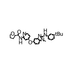 Cn1c(Nc2cccc(C(C)(C)C)c2)nc2cc(Oc3ccnc(NC(=O)C4CCCO4)c3)ccc21